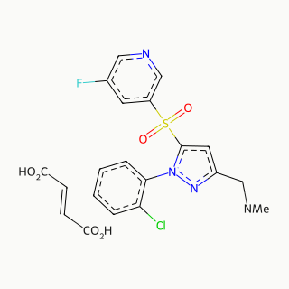 CNCc1cc(S(=O)(=O)c2cncc(F)c2)n(-c2ccccc2Cl)n1.O=C(O)C=CC(=O)O